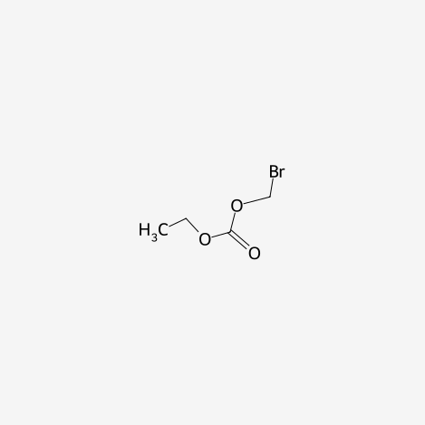 CCOC(=O)OCBr